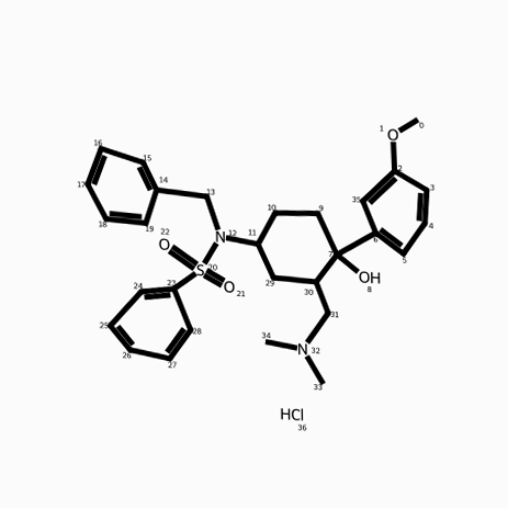 COc1cccc(C2(O)CCC(N(Cc3ccccc3)S(=O)(=O)c3ccccc3)CC2CN(C)C)c1.Cl